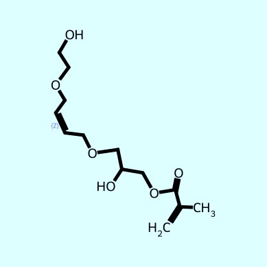 C=C(C)C(=O)OCC(O)COC/C=C\COCCO